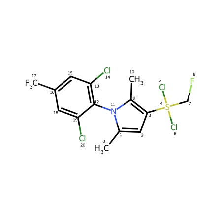 Cc1cc(S(Cl)(Cl)CF)c(C)n1-c1c(Cl)cc(C(F)(F)F)cc1Cl